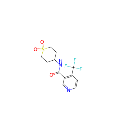 O=C(NC1CCS(=O)(=O)CC1)c1cnccc1C(F)(F)F